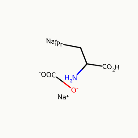 CC(C)CC(N)C(=O)O.O=C([O-])[O-].[Na+].[Na+]